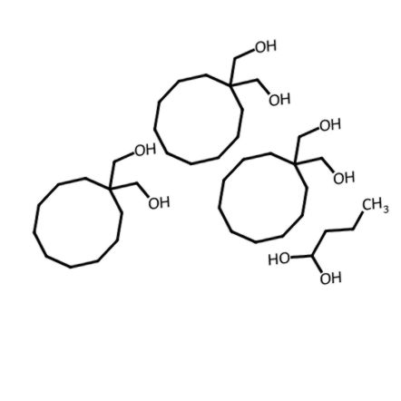 CCCC(O)O.OCC1(CO)CCCCCCCCC1.OCC1(CO)CCCCCCCCC1.OCC1(CO)CCCCCCCCC1